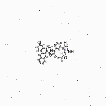 CN/C1=C(\C=N)NC(=O)C(C)CCCC(n2cnc(-c3cc(Cl)ccc3-c3ccc4ccncc4c3)cc2=O)c2cc1ccn2